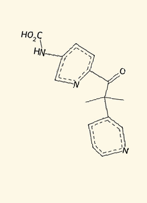 CC(C)(C(=O)c1ccc(NC(=O)O)cn1)c1cccnc1